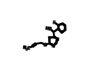 CC#CCOc1cc(C(O)c2ccccc2F)ncn1